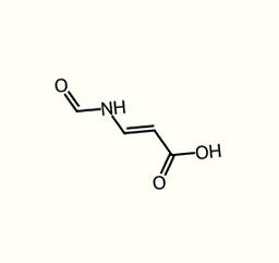 O=CNC=CC(=O)O